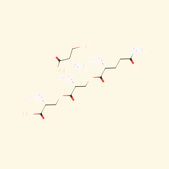 NC(=O)CC[C@H](N)C(=O)OC[C@H](N)C(=O)OC[C@H](N)C(=O)O.N[C@@H](CO)C(=O)O